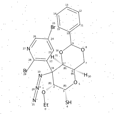 CCO[C@H]1[C@@H](S)O[C@@H]2COC(c3ccccc3)O[C@@H]2C1(N=[N+]=[N-])c1cc(Br)cnc1Br